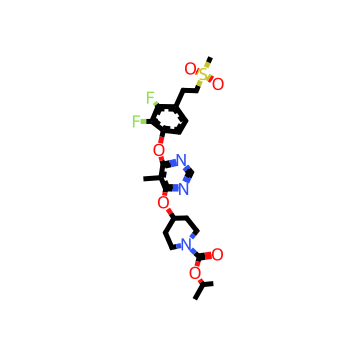 Cc1c(Oc2ccc(CCS(C)(=O)=O)c(F)c2F)ncnc1OC1CCN(C(=O)OC(C)C)CC1